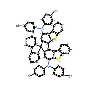 CC(C)(C)c1ccc(N(c2ccc(C(C)(C)C)cc2)c2cc3c(c4c2sc2ccccc24)-c2c(cc(N(c4ccc(C(C)(C)C)cc4)c4ccc(C(C)(C)C)cc4)c4c2sc2ccccc24)C32c3ccccc3-c3ccccc32)cc1